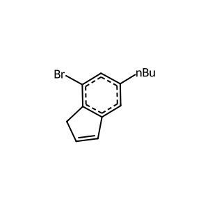 CCCCc1cc(Br)c2c(c1)C=CC2